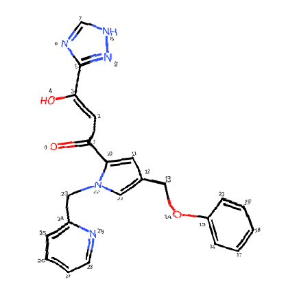 O=C(C=C(O)c1nc[nH]n1)c1cc(COc2ccccc2)cn1Cc1ccccn1